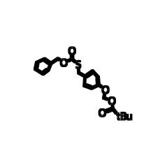 CC(C)(C)C(=O)OCOc1ccc(CSC(=O)OCc2ccccc2)cc1